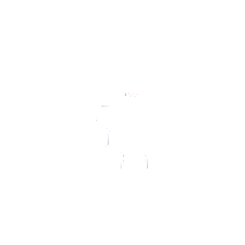 O=C(OCl)C1CCN(Cc2ccccc2)C1